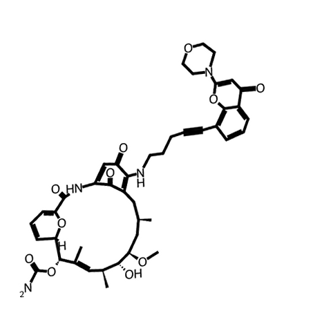 CO[C@@H]1C[C@H](C)CC2=C(NCCCC#Cc3cccc4c(=O)cc(N5CCOCC5)oc34)C(=O)C=C(NC(=O)C3=CC=C[C@H](O3)[C@@H](OC(N)=O)/C(C)=C/[C@H](C)[C@H]1O)C2=O